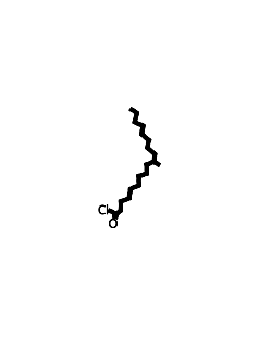 CCCCCCCCC(C)CCCCCCCCC(=O)Cl